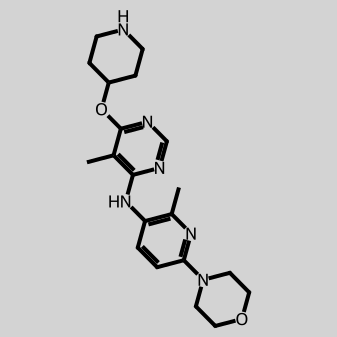 Cc1nc(N2CCOCC2)ccc1Nc1ncnc(OC2CCNCC2)c1C